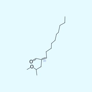 CCCCCCCCC/C=C(\C=O)CC(C)OC